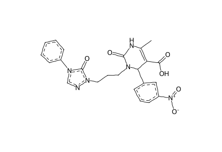 CC1=C(C(=O)O)C(c2cccc([N+](=O)[O-])c2)N(CCCn2ncn(-c3ccccc3)c2=O)C(=O)N1